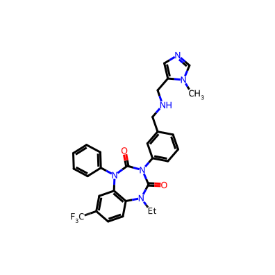 CCN1C(=O)N(c2cccc(CNCc3cncn3C)c2)C(=O)N(c2ccccc2)c2cc(C(F)(F)F)ccc21